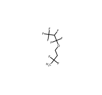 CC(F)(F)CCOC(F)(F)C(F)C(F)(F)F